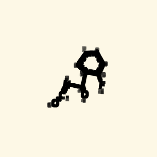 O=C=NC(=O)c1ccccc1F